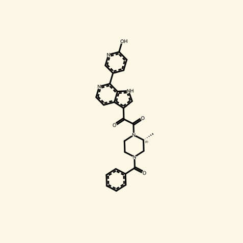 C[C@@H]1CN(C(=O)c2ccccc2)CCN1C(=O)C(=O)c1c[nH]c2c(-c3ccc(O)nc3)nccc12